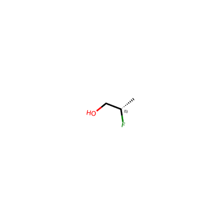 C[C@H](F)CO